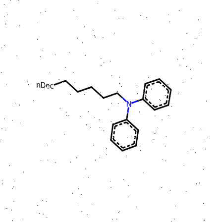 [CH2]CCCCCCCCCCCCC[CH]N(c1ccccc1)c1ccccc1